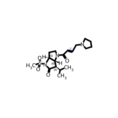 CC(C)[C@H]1C(=O)N(S(C)(=O)=O)[C@H]2CCN(C(=O)/C=C/CN3CCCC3)[C@H]12